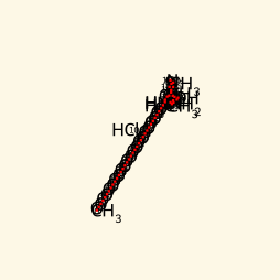 COCCOCCOCCOCCOCCOCCOCCOCCOCCOCCOCCOCCOCCOCCOCCOCCOCCOCCOCCOCCOCCOCCNC(=O)CCC(=O)OC[C@H](NC(=O)[C@@H]1C[C@@H](O)CN1C(=O)[C@@H](N)C(C)(C)C)c1ccc(-c2scnc2C)cc1.Cl